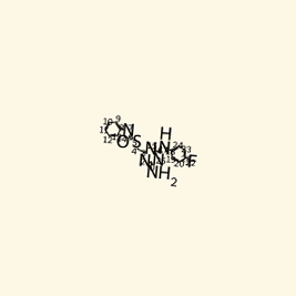 Nc1nc(CSc2nc3ccccc3o2)nc(Nc2ccc(F)cc2)n1